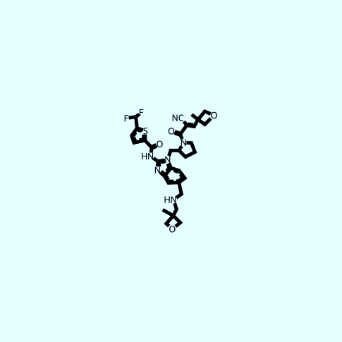 CC1(C=C(C#N)C(=O)N2CCCC2Cn2c(NC(=O)c3ccc(C(F)F)s3)nc3cc(CNCC4(C)COC4)ccc32)COC1